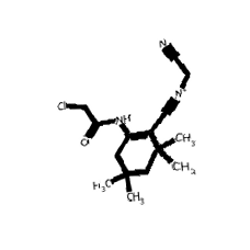 CC1(C)CC(NC(=O)CCl)=C(C#[N+]CC#N)C(C)(C)C1